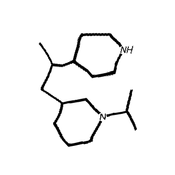 CC(CC1CCCN(C(C)C)C1)C1CCNCC1